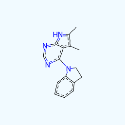 Cc1[nH]c2ncnc(N3CCc4ccccc43)c2c1C